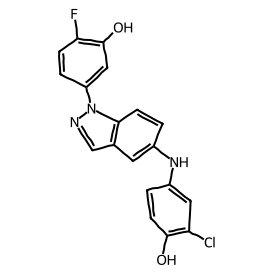 Oc1cc(-n2ncc3cc(Nc4ccc(O)c(Cl)c4)ccc32)ccc1F